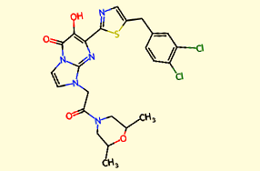 CC1CN(C(=O)Cn2ccn3c(=O)c(O)c(-c4ncc(Cc5ccc(Cl)c(Cl)c5)s4)nc23)CC(C)O1